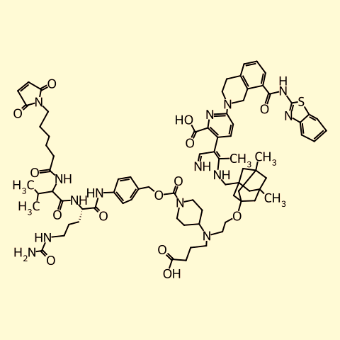 C/C(NCC12CC3(C)CC(C)(C1)CC(OCCN(CCCC(=O)O)C1CCN(C(=O)OCc4ccc(NC(=O)[C@H](CCCNC(N)=O)NC(=O)C(NC(=O)CCCCCN5C(=O)C=CC5=O)C(C)C)cc4)CC1)(C3)C2)=C(/C=N)c1ccc(N2CCc3cccc(C(=O)Nc4nc5ccccc5s4)c3C2)nc1C(=O)O